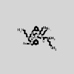 CC(=O)CN(Cc1ccccc1)C(=O)CN(CCCCN)C(=O)CN(Cc1ccccc1)C(=O)CN(CCCCN)C(=O)CN(CCCCN)C(=O)CN(C)CCCCN